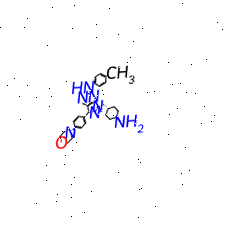 Cc1ccc(Nc2ncc3c(-c4ccc(N5CCOCC5)cc4)nn(C[C@H]4CC[C@H](N)CC4)c3n2)cc1